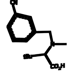 CN(Cc1cccc(C#N)c1)C(C(=O)O)C(C)(C)C